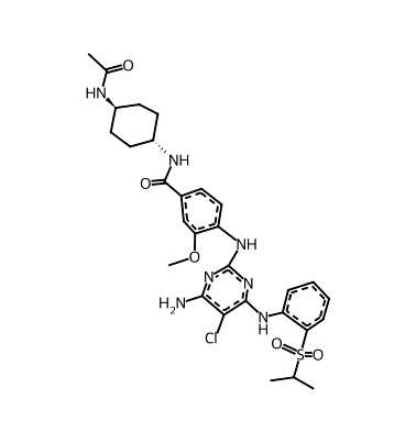 COc1cc(C(=O)N[C@H]2CC[C@H](NC(C)=O)CC2)ccc1Nc1nc(N)c(Cl)c(Nc2ccccc2S(=O)(=O)C(C)C)n1